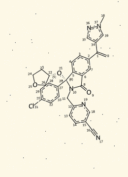 C=C(c1ccc2c(c1)C(=O)N(Cc1ccc(C#N)cn1)[C@@]2(O[C@H]1CCOC1)c1ccc(Cl)cc1)c1cnn(C)c1